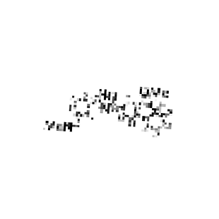 CNCc1cccc(-c2noc(-c3ccc(-c4ccccc4C)c(COC)c3)n2)c1